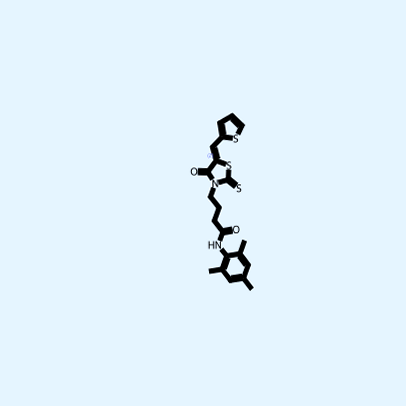 Cc1cc(C)c(NC(=O)CCCN2C(=O)/C(=C/c3cccs3)SC2=S)c(C)c1